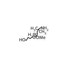 CO[Si](C)(CCC(C)(C)CN)OCCCCO